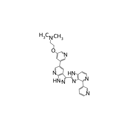 CN(C)CCOc1cncc(-c2cnc3[nH]nc(-c4nc5c(-c6cccnc6)nccc5[nH]4)c3c2)c1